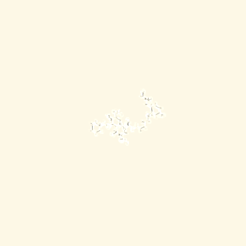 Cc1cn2c(c(OCc3ccccc3)c1=O)C(=O)N(C)CN2C(=O)CC/C=C\CCOc1cc(F)ccc1CNC=O